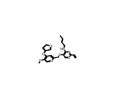 C=Cc1ncc(OCc2cc(OC3CCOC3)c(OC)cn2)c(NCCCC)n1